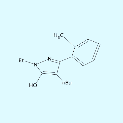 CCCCc1c(-c2ccccc2C)nn(CC)c1O